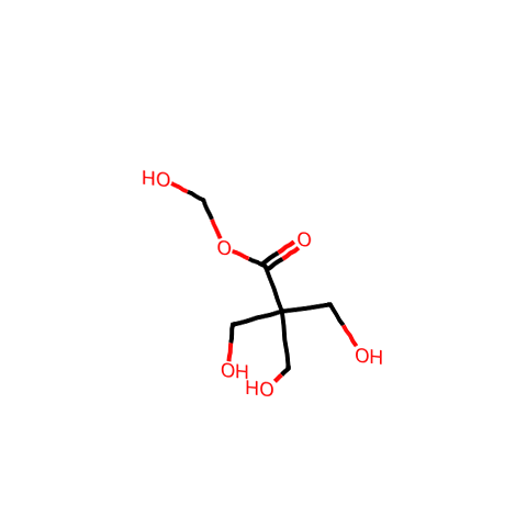 O=C(OCO)C(CO)(CO)CO